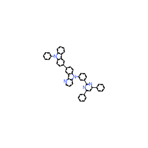 c1ccc(-c2cc(-c3ccccc3)nc(-c3cccc(-n4c5ccc(-c6ccc7c(c6)c6ccccc6n7-c6ccccc6)cc5c5ncccc54)c3)n2)cc1